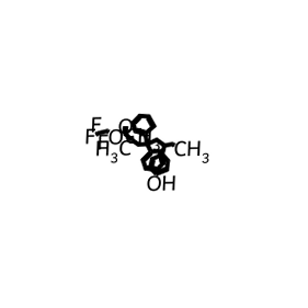 CCC(CC(CC(C)(C)C(=O)OCC(F)(F)F)(c1ccccc1)c1ccccc1)c1ccc(O)cc1